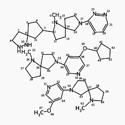 CN1C(C2CCC3(CCNN3)C2)CCC12CCN(c1cccnn1)C2.CN1CCCC12CCN(c1cncc(OC3CCCC3)c1)C2.COc1cncc(N2CCC3(CCCN3C)C2)c1